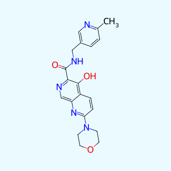 Cc1ccc(CNC(=O)c2ncc3nc(N4CCOCC4)ccc3c2O)cn1